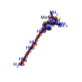 CSCC(=O)N[C@@H](CCCCN)C(=O)N[C@@H](CS)C(=O)N[C@@H](CCCNC(=N)N)C(=O)NCC(=O)N[C@@H](CC(=O)O)C(=O)N[C@@H](CS)C(=O)N[C@@H](Cc1ccccc1)C(=O)N[C@@H](C)C(=O)NCCOCCOCCOCCNC(=O)COCC(=O)NCCOCCOCCOCCNC(=O)COCC(N)=O